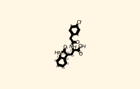 O=C(Cc1ccc(Cl)cc1)NC(CC1C(=O)Nc2ccccc21)C(=O)O